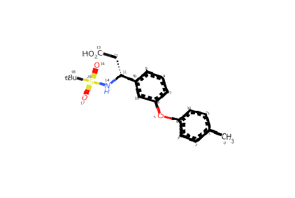 Cc1ccc(Oc2cccc([C@@H](CC(=O)O)NS(=O)(=O)C(C)(C)C)c2)cc1